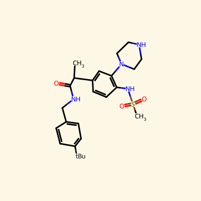 CC(C(=O)NCc1ccc(C(C)(C)C)cc1)c1ccc(NS(C)(=O)=O)c(N2CCNCC2)c1